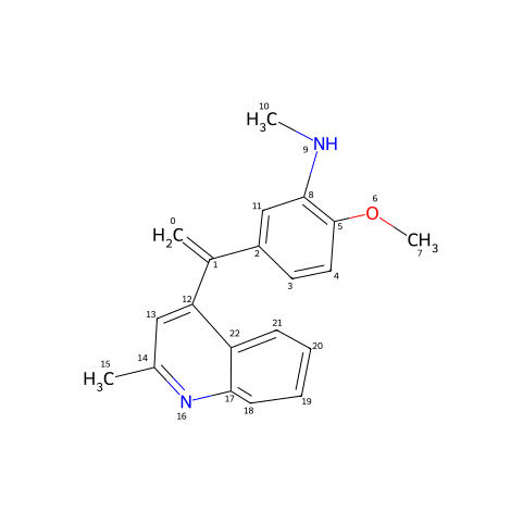 C=C(c1ccc(OC)c(NC)c1)c1cc(C)nc2ccccc12